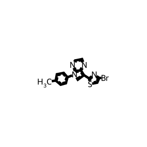 Cc1ccc(-n2cc(-c3nc(Br)cs3)c3nccnc32)cc1